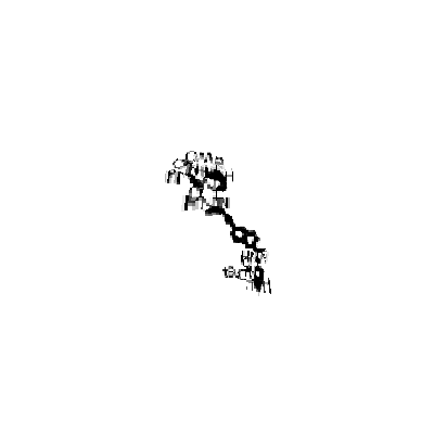 COC(=O)N[C@H](C(=O)N1[C@@H]2C[C@@H]2C[C@H]1c1nc(C#Cc2ccc3cc(-c4cnc([C@H]5C[C@H]6C[C@H]6N5C(=O)OC(C)(C)C)[nH]4)ccc3c2)c[nH]1)C(C)C